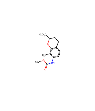 CCOC(=O)C1CCc2ccc(NC(=O)OC(C)(C)C)c(C)c2O1